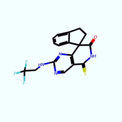 O=C1NC(=S)c2cnc(NCC(F)(F)F)nc2C12CCc1ccccc12